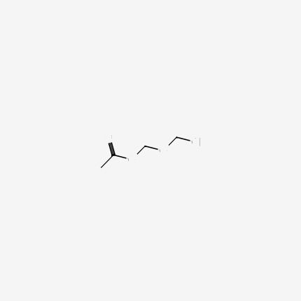 CC(=O)OCOCCl